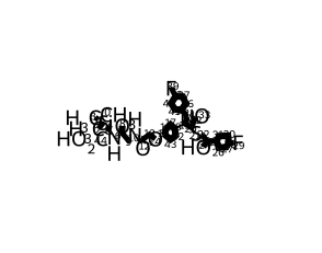 C[Si](C)(C)CC(NC(=O)CNC(=O)COc1ccc([C@@H]2[C@@H](SCC(O)c3ccc(F)cc3)C(=O)N2c2ccc(F)cc2)cc1)C(=O)O